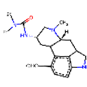 CCN(CC)C(=O)N[C@H]1CC2c3c(C=O)ccc4c3C(CN4)C[C@H]2N(C)C1